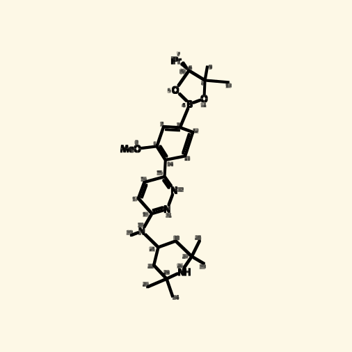 COc1cc(B2O[C@@H](C(C)C)C(C)(C)O2)ccc1-c1ccc(N(C)C2CC(C)(C)NC(C)(C)C2)nn1